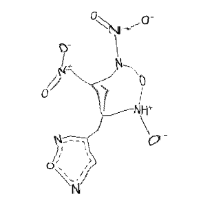 O=[N+]([O-])C1=C(c2cnon2)[NH+]([O-])ON1[N+](=O)[O-]